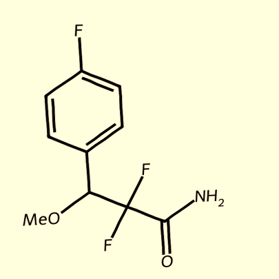 COC(c1ccc(F)cc1)C(F)(F)C(N)=O